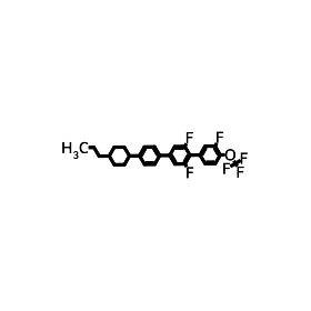 CCCC1CCC(c2ccc(-c3cc(F)c(-c4ccc(OC(F)(F)F)c(F)c4)c(F)c3)cc2)CC1